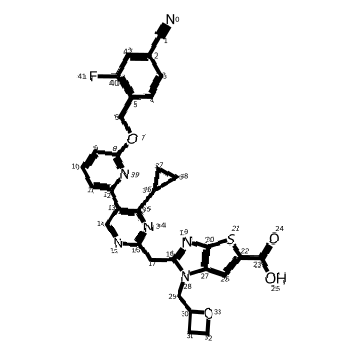 N#Cc1ccc(COc2cccc(-c3cnc(Cc4nc5sc(C(=O)O)cc5n4CC4CCO4)nc3C3CC3)n2)c(F)c1